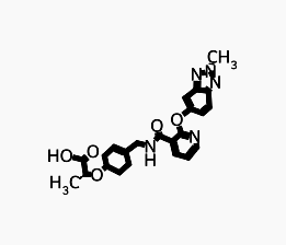 C[C@@H](OC1CC=C(CNC(=O)c2cccnc2Oc2ccc3nn(C)nc3c2)CC1)C(=O)O